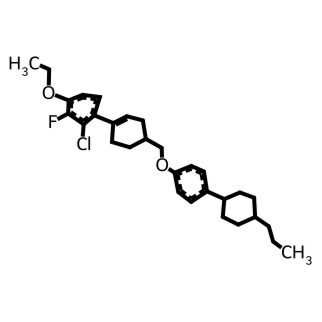 CCCC1CCC(c2ccc(OCC3CC=C(c4ccc(OCC)c(F)c4Cl)CC3)cc2)CC1